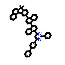 CC1(C)c2ccc(-c3ccc(-c4ccc(-c5cc(-c6ccc(-c7ccccc7)cc6)nc(-c6ccccc6)n5)c5ccccc45)c4ccccc34)cc2-c2c1ccc1ccccc21